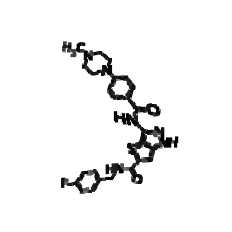 CN1CCN(c2ccc(C(=O)Nc3n[nH]c4cc(C(=O)NCc5ccc(F)cc5)sc34)cc2)CC1